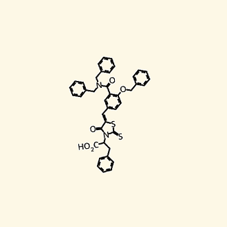 O=C(O)C(Cc1ccccc1)N1C(=O)C(=Cc2ccc(OCc3ccccc3)c(C(=O)N(Cc3ccccc3)Cc3ccccc3)c2)SC1=S